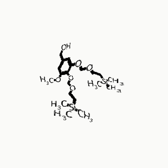 COc1cc(CO)cc(OCOCC[Si](C)(C)C)c1OCOCC[Si](C)(C)C